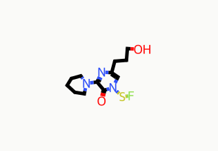 O=c1c(N2CCCCC2)nc(CCCO)cn1SF